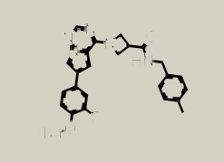 Cc1ccc(CNC(=O)C2CN(c3ncnn4cc(-c5ccc(OC(C)(C)C)c(F)c5)cc34)C2)cc1